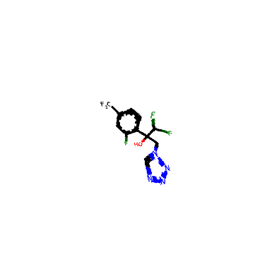 OC(Cn1cnnn1)(c1ccc(C(F)(F)F)cc1F)C(F)F